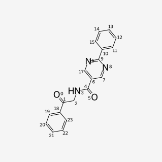 O=C(CNC(=O)c1cnc(-c2ccccc2)nc1)c1ccccc1